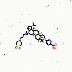 C=C(C)[C@@H]1CC[C@]2(CNCCCN3CCS(=O)(=O)CC3)CC[C@]3(C)[C@H](CC[C@@H]4[C@@]5(C)CCN(c6ccc(C(=O)O)nc6)C(C)(C)[C@@H]5CC[C@]43C)[C@@H]12